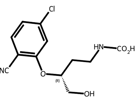 N#Cc1ccc(Cl)cc1O[C@@H](CO)CCNC(=O)O